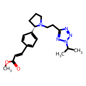 COC(=O)/C=C/c1ccc([C@@H]2CCCN2CCc2nnn(C(C)C)n2)cc1